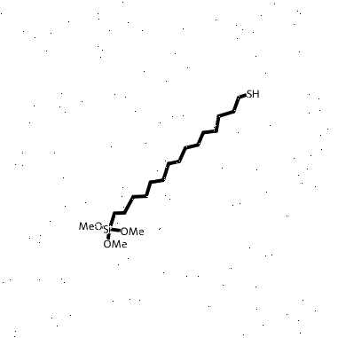 CO[Si](CCCCCCCCCCCCCCCS)(OC)OC